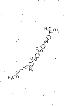 C=CC(=O)OCCCCO/C=C/C=C(\C=C/C)C(=O)Oc1ccc(C(=O)Oc2ccc(N=Nc3ccc(N(CC)CC)cc3)cc2)cc1